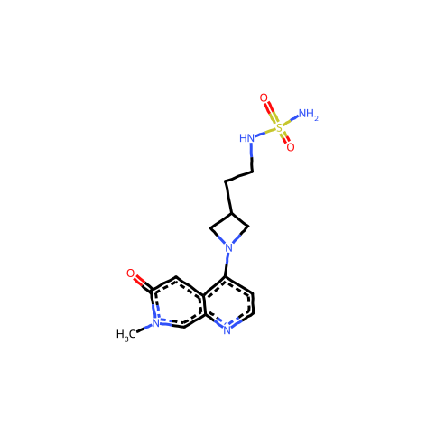 Cn1cc2nccc(N3CC(CCNS(N)(=O)=O)C3)c2cc1=O